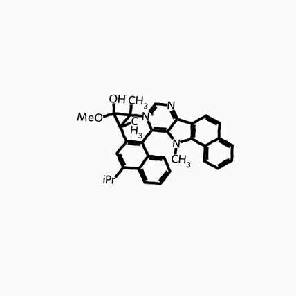 COC1(O)C2(C)c3cc(C(C)C)c4ccccc4c3-c3c4c(nc[n+]3C12C)c1ccc2ccccc2c1n4C